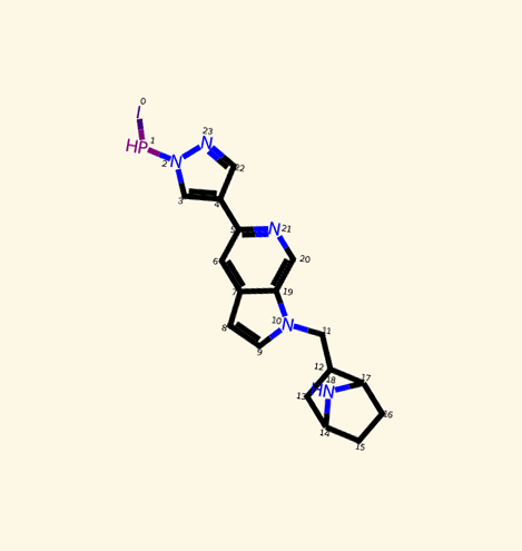 IPn1cc(-c2cc3ccn(CC4CC5CCC4N5)c3cn2)cn1